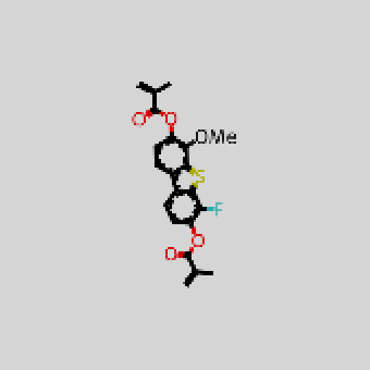 C=C(C)C(=O)Oc1ccc2c(sc3c(OC)c(OC(=O)C(=C)C)ccc32)c1F